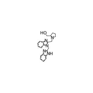 OCC1CCCN1Cc1nc2ccccc2n1Cc1nc2ccccc2[nH]1